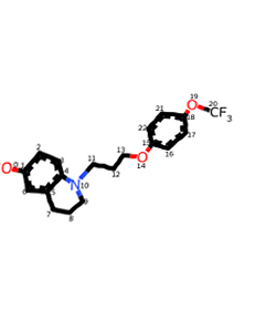 Oc1ccc2c(c1)CCCN2CCCOc1ccc(OC(F)(F)F)cc1